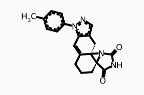 Cc1ccc(-n2ncc3c2C=C2CCC[C@]45C(=O)NC(=O)N4[C@]25C3)cc1